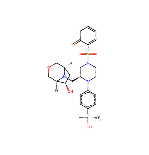 C[C@](O)(c1ccc(N2CCN(S(=O)(=O)C3=CC=CCC3=S)C[C@@H]2CN2[C@H]3COC[C@@H]2[C@H](O)C3)cc1)C(F)(F)F